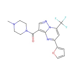 CN1CCN(C(=O)c2cnn3c(C(F)(F)F)cc(-c4ccco4)nc23)CC1